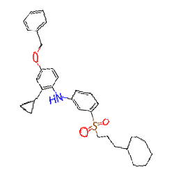 O=S(=O)(CCCC1CCCCC1)c1cccc(Nc2ccc(OCc3ccccc3)cc2C2CC2)c1